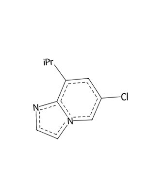 CC(C)c1cc(Cl)cn2ccnc12